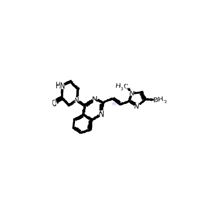 Bc1cn(C)c(/C=C/c2nc(N3CCNC(=O)C3)c3ccccc3n2)n1